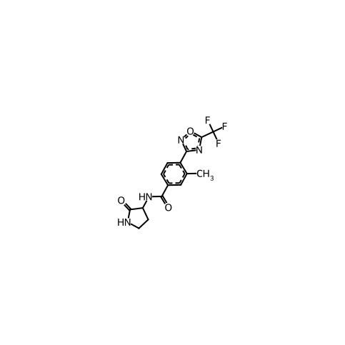 Cc1cc(C(=O)NC2CCNC2=O)ccc1-c1noc(C(F)(F)F)n1